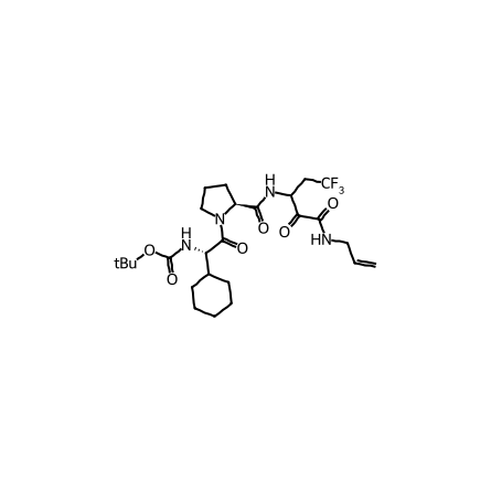 C=CCNC(=O)C(=O)C(CC(F)(F)F)NC(=O)[C@@H]1CCCN1C(=O)[C@@H](NC(=O)OC(C)(C)C)C1CCCCC1